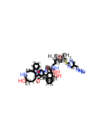 CC[C@]1(O)CCC[C@](C(=O)OC)(c2cc3c(cc2OC)N(C)[C@@H]2[C@H]3[C@H]3CCC=C[C@@]3(CC)[C@@H](O)[C@]2(O)C(=O)NCCC[Si](C)(C)O[Si](C)(C)CSc2ncc(CN=[N+]=[N-])cn2)c2[nH]c3ccccc3c2CCNC1